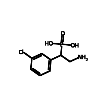 NCC(c1cccc(Cl)c1)P(=O)(O)O